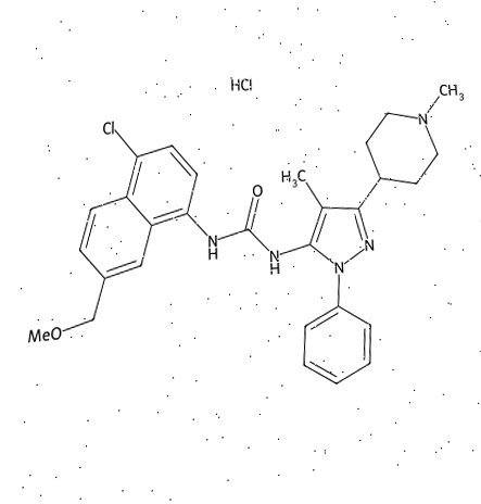 COCc1ccc2c(Cl)ccc(NC(=O)Nc3c(C)c(C4CCN(C)CC4)nn3-c3ccccc3)c2c1.Cl